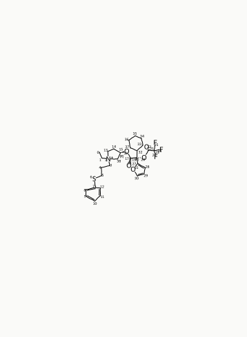 CC[N+]1(CCCSc2ccccc2)CC[C@@H](OC(=O)[C@](OC(=O)C(F)(F)F)(c2ccco2)C2CCCCC2)C1